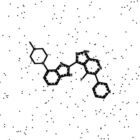 CN1CCN(c2cccc3[nH]c(-c4n[nH]c5cnc(-c6cccnc6)c(F)c45)nc23)CC1